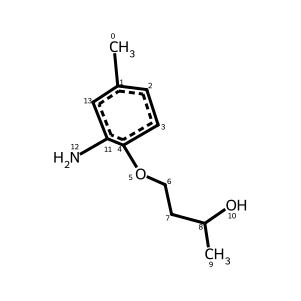 Cc1ccc(OCCC(C)O)c(N)c1